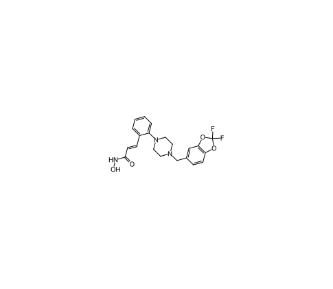 O=C(C=Cc1ccccc1N1CCN(Cc2ccc3c(c2)OC(F)(F)O3)CC1)NO